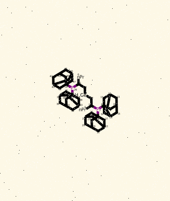 CCCC([CH2][GeH2][CH2]C(CCC)P(C12CC3CC(CC(C3)C1)C2)C12CC3CC(CC(C3)C1)C2)P(C12CC3CC(CC(C3)C1)C2)C12CC3CC(CC(C3)C1)C2